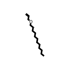 C=CCOC[CH]CCCCCCCCCC